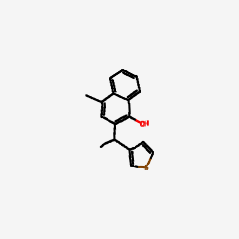 Cc1cc(C(C)c2ccsc2)c(O)c2ccccc12